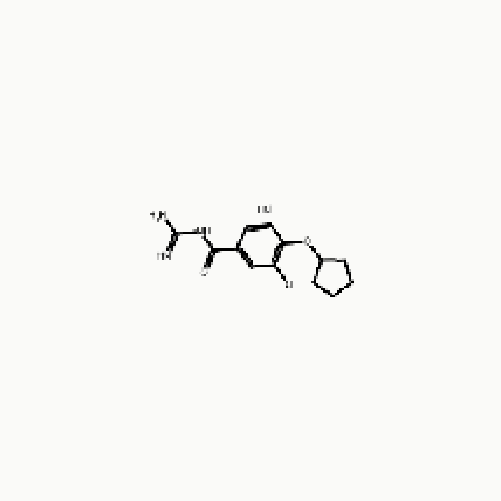 Cl.N=C(N)NC(=O)c1ccc(OC2CCCC2)c(Cl)c1